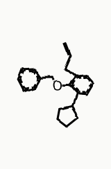 C=CCc1cccc(C2CCCC2)c1OCc1ccccc1